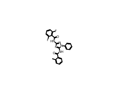 Cc1ccccc1C(=O)Nc1nc(NC(=O)c2c(F)cccc2F)nn1-c1ccccc1